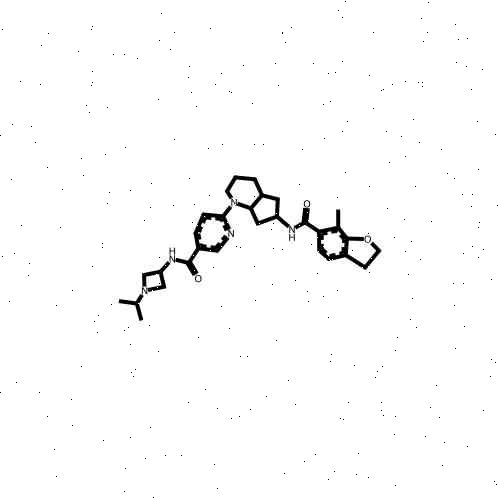 Cc1c(C(=O)NC2CC3CCCN(c4ccc(C(=O)NC5CN(C(C)C)C5)cn4)C3C2)ccc2c1OCC2